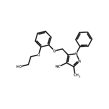 Cc1nn(-c2ccccc2)c(COc2ccccc2OCCO)c1C#N